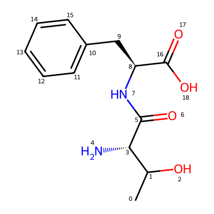 CC(O)[C@H](N)C(=O)N[C@@H](Cc1ccccc1)C(=O)O